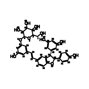 OCC1OC(Oc2cc(O)cc(C=Cc3ccc4c(c3)[C@H](c3cc(O)cc(O)c3)[C@@H](c3ccc(O)cc3)O4)c2)C(O)C(O)C1O